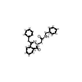 O=C(Cn1nc(Cc2ccccc2)c2ccccc2c1=O)NCc1ccccc1